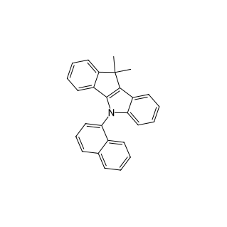 CC1(C)c2ccccc2-c2c1c1ccccc1n2-c1cccc2ccccc12